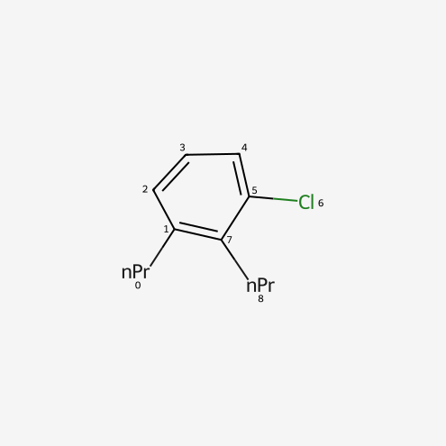 CCCc1cccc(Cl)c1CCC